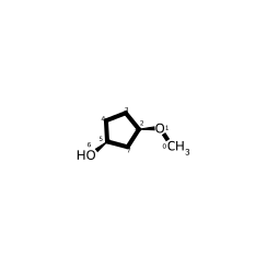 CO[C@@H]1CC[C@H](O)C1